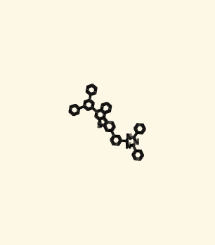 c1ccc(-c2cc(-c3ccccc3)cc(-c3cc4sc5cc(-c6cccc(-c7nc(-c8ccccc8)nc(-c8ccccc8)n7)c6)ccc5c4c4ccccc34)c2)cc1